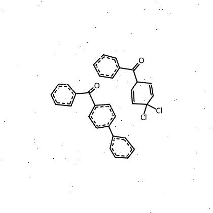 O=C(c1ccccc1)C1C=CC(Cl)(Cl)C=C1.O=C(c1ccccc1)c1ccc(-c2ccccc2)cc1